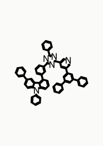 c1ccc(-c2cc(-c3ccccc3)cc(-c3cncc(-c4nc(-c5ccccc5)nc(-c5cccc(-c6cccc7c6c6cc(-c8ccccc8)ccc6n7-c6ccccc6)c5)n4)c3)c2)cc1